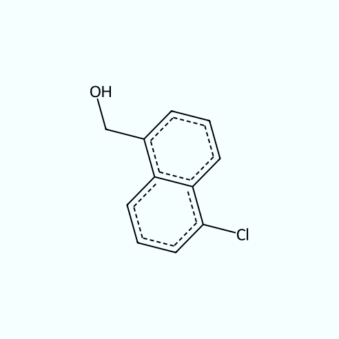 OCc1cccc2c(Cl)cccc12